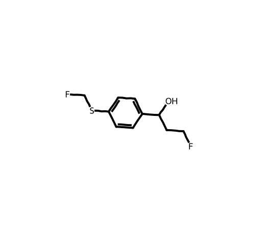 OC(CCF)c1ccc(SCF)cc1